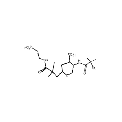 CCC(C)(C)C(=O)NC1COC(CC(C)(C)C(=O)NCCC(=O)O)CC1C(=O)O